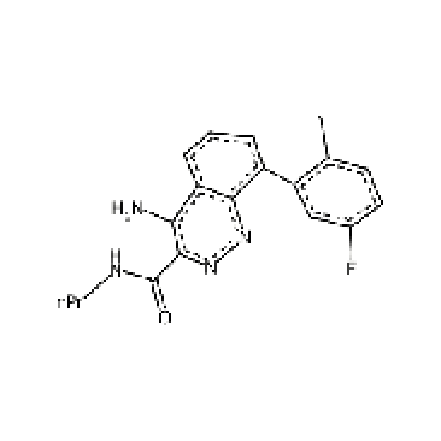 CCCNC(=O)c1nnc2c(-c3cc(F)ccc3C)cccc2c1N